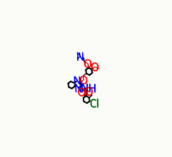 COc1ccc(COc2nc3ccccc3nc2NS(=O)(=O)c2cccc(Cl)c2C)cc1OCCN(C)C